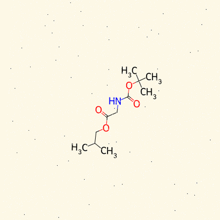 CC(C)COC(=O)CNC(=O)OC(C)(C)C